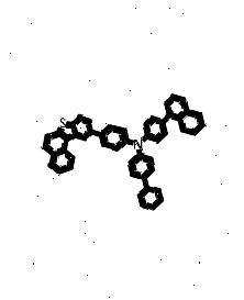 c1ccc(-c2ccc(N(c3ccc(-c4ccc5sc6ccc7ccccc7c6c5c4)cc3)c3ccc(-c4cccc5ccccc45)cc3)cc2)cc1